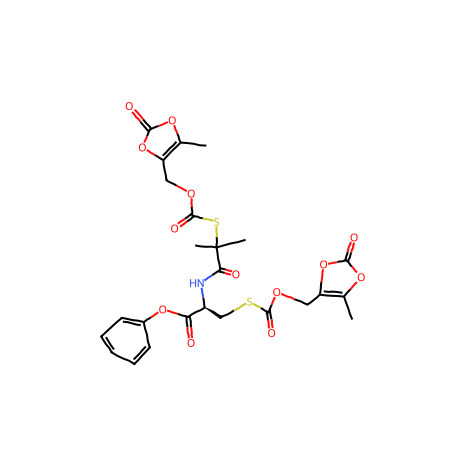 Cc1oc(=O)oc1COC(=O)SC[C@H](NC(=O)C(C)(C)SC(=O)OCc1oc(=O)oc1C)C(=O)Oc1ccccc1